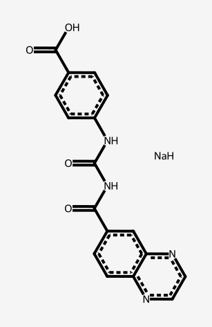 O=C(NC(=O)c1ccc2nccnc2c1)Nc1ccc(C(=O)O)cc1.[NaH]